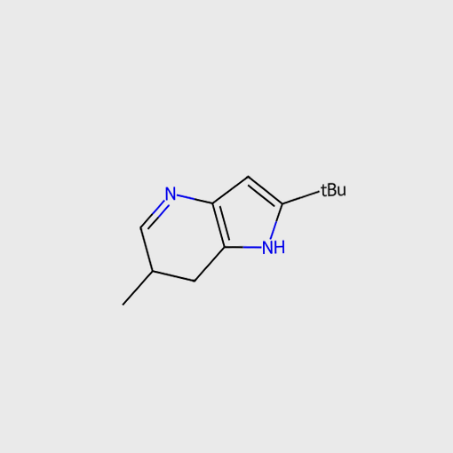 CC1C=Nc2cc(C(C)(C)C)[nH]c2C1